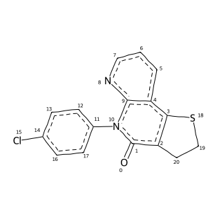 O=c1c2c(c3cccnc3n1-c1ccc(Cl)cc1)SCC2